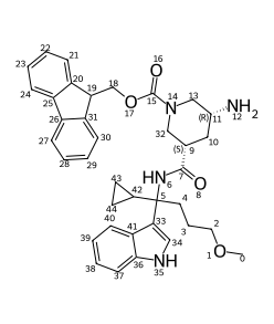 COCCCC(NC(=O)[C@H]1C[C@@H](N)CN(C(=O)OCC2c3ccccc3-c3ccccc32)C1)(c1c[nH]c2ccccc12)C1CC1